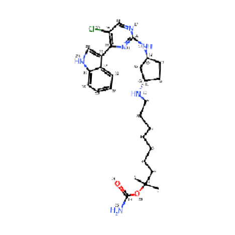 CC(C)(CCCCCCCN[C@H]1CC[C@H](Nc2ncc(Cl)c(-c3c[nH]c4ccccc34)n2)C1)OC(N)=O